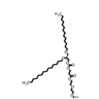 CCCCCCCCCCCCCCOC[C@@H](COC(=O)OCCC(=O)OCCOCCOC)OCCCCCCCCCCCCCC